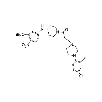 CC(C)COc1cc(NC2CCN(C(=O)CCN3CCN(c4ccc(Cl)cc4F)CC3)CC2)ccc1[N+](=O)[O-]